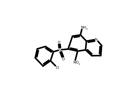 Nc1cc(S(=O)(=O)c2ccccc2Cl)c([N+](=O)[O-])c2cccnc12